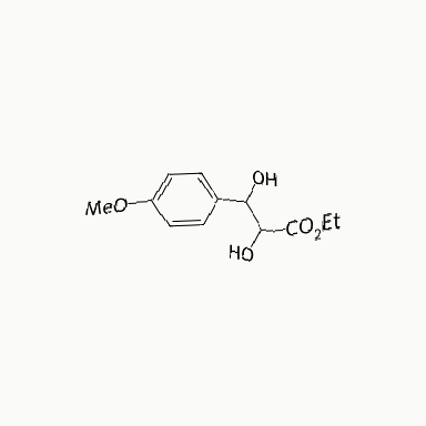 CCOC(=O)C(O)C(O)c1ccc(OC)cc1